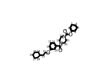 O=C(Oc1ccccc1)N1CCN(C(=O)c2cccc(OCCC3CCCCC3)c2)CC1